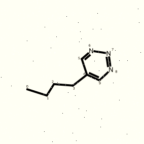 CCCCc1[c]nnnc1